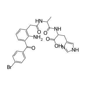 CC(NC(=O)Cc1cccc(C(=O)c2ccc(Br)cc2)c1N)C(=O)NC(Cc1c[nH]cn1)C(=O)O